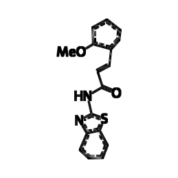 COc1ccccc1C=CC(=O)Nc1nc2ccccc2s1